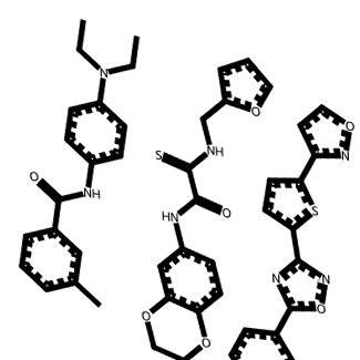 CCN(CC)c1ccc(NC(=O)c2cccc(C)c2)cc1.O=C(Nc1ccc2c(c1)OCCO2)C(=S)NCc1ccco1.c1ccc(-c2nc(-c3ccc(-c4ccon4)s3)no2)cc1